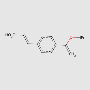 C=C(OC(C)C)c1ccc(/C=C/C(=O)O)cc1